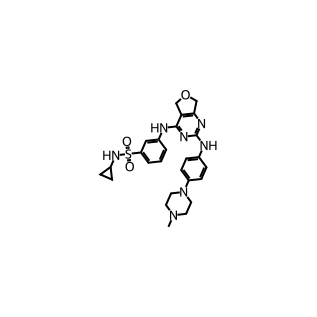 CN1CCN(c2ccc(Nc3nc4c(c(Nc5cccc(S(=O)(=O)NC6CC6)c5)n3)COC4)cc2)CC1